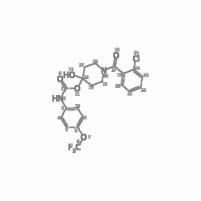 O=C(Nc1ccc(OC(F)(F)F)cc1)OC1(O)CCN(C(=O)c2ccccc2Cl)CC1